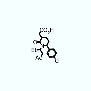 CCC(CC(C)=O)N1C(=O)C(CC(=O)O)CCC1c1ccc(Cl)cc1